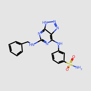 NS(=O)(=O)c1cccc(Nc2nc(NCc3ccccc3)nc3[nH]nnc23)c1